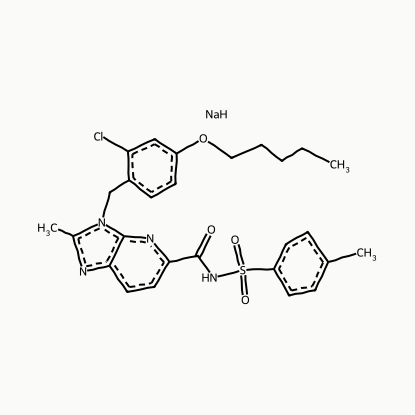 CCCCCOc1ccc(Cn2c(C)nc3ccc(C(=O)NS(=O)(=O)c4ccc(C)cc4)nc32)c(Cl)c1.[NaH]